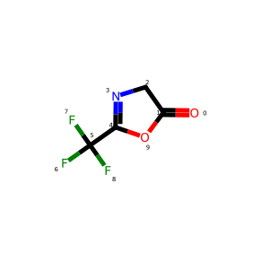 O=C1CN=C(C(F)(F)F)O1